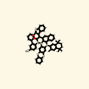 Cc1cc2c(cc1N1c3cc4c(cc3B3c5c(cc6ccccc6c51)-c1c(ccc5oc6ccccc6c15)N3c1ccc(C(C)(C)C)cc1-c1ccccc1)Oc1ccccc1O4)C(C)(C)CCC2(C)C